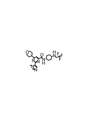 Cn1cncc1-c1nc(C(=O)N[C@H]2CC[C@H](NCC(F)(F)F)CC2)cc(C2CCOCC2)n1